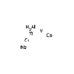 [AlH3].[Co].[Cr].[Nb].[Ti].[V]